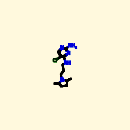 C=C1CCC(C)N1CCCNc1nc(N)ncc1Cl